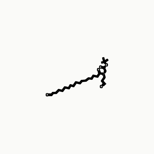 CC(C)(C)OC(=O)CN(CC[C]=O)C(=O)CCCCCCCCCCCCCCCCC=O